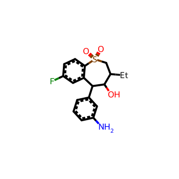 CCC1CS(=O)(=O)c2ccc(F)cc2C(c2cccc(N)c2)C1O